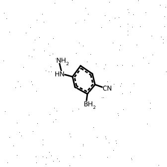 Bc1cc(NN)ccc1C#N